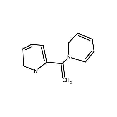 C=C(C1=CC=CC[N]1)N1C=CC=CC1